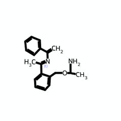 C=C(/N=C(\C)c1ccccc1COC(C)N)c1ccccc1